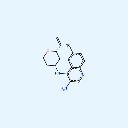 C=C[C@@H]1C[C@H](Nc2c(N)cnc3ccc(C#N)cc23)CCO1